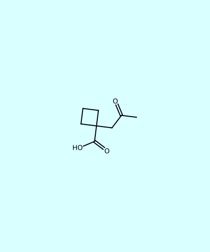 CC(=O)CC1(C(=O)O)CCC1